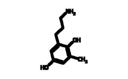 Cc1cc(O)cc(CCCN)c1O